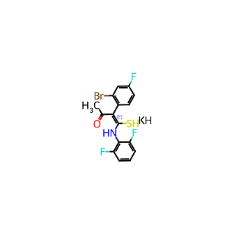 CC(=O)/C(=C(/S)Nc1c(F)cccc1F)c1ccc(F)cc1Br.[KH]